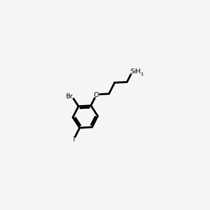 [SiH3]CCCOc1ccc(I)cc1Br